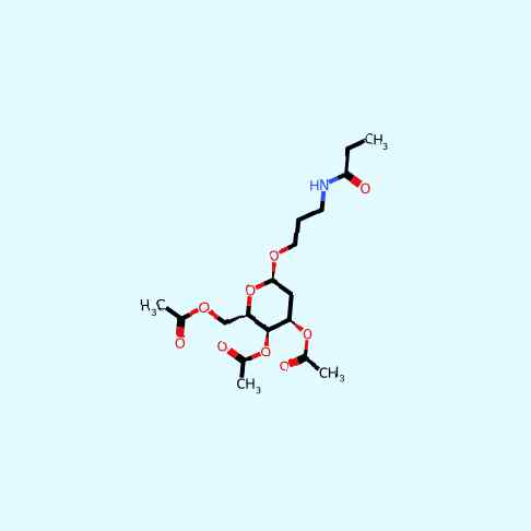 CCC(=O)NCCCO[C@H]1C[C@@H](OC(C)=O)[C@@H](OC(C)=O)[C@@H](COC(C)=O)O1